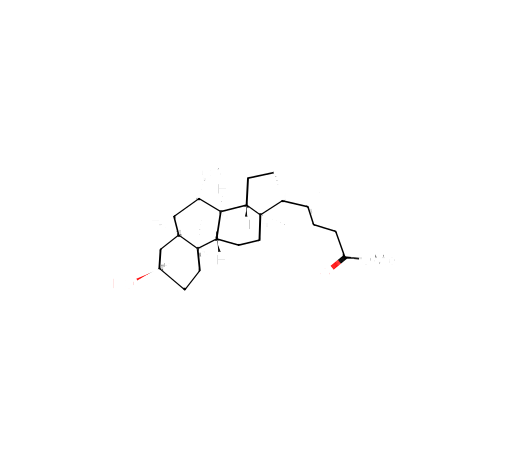 COC(=O)CC[C@@H](C)[C@H]1CC[C@H]2[C@@H]3[C@@H](OC(C)=O)C[C@@H]4C[C@H](O)CC[C@]4(C)[C@H]3CC[C@]12C